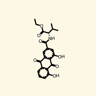 CCOC(=O)[C@@H](NC(=O)c1cc(O)c2c(c1)C(=O)c1cccc(O)c1C2=O)C(C)C